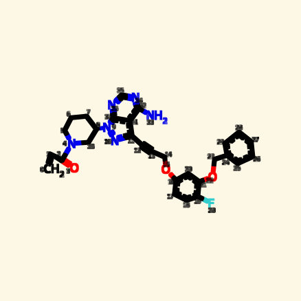 C=CC(=O)N1CCC[C@@H](n2nc(C#CCOc3ccc(F)c(OCc4ccccc4)c3)c3c(N)ncnc32)C1